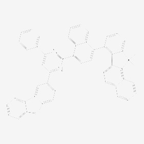 CC1(C)c2cccc(-c3ccc(-c4nc(-c5ccccc5)cc(-c5ccc6oc7ccccc7c6c5)n4)c4ccccc34)c2-c2ccc3ccccc3c21